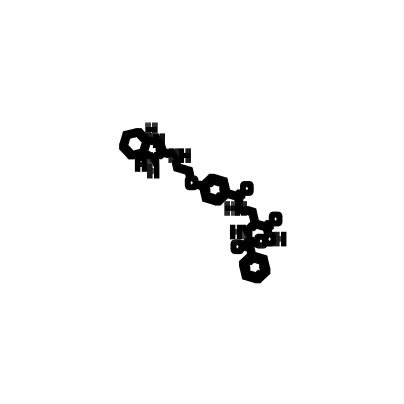 O=C(NCC(NS(=O)(=O)c1ccccc1)C(=O)O)c1ccc(OCCNC2=N[C@@H]3CCCC[C@@H]3N2)cc1